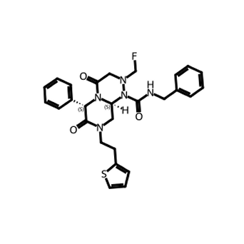 O=C1[C@H](c2ccccc2)N2C(=O)CN(CF)N(C(=O)NCc3ccccc3)[C@H]2CN1CCc1cccs1